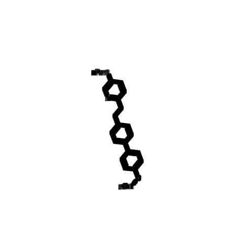 CCCCCCCCOc1ccc(-c2ccc(CCc3ccc(CCCCC)cn3)cc2)cc1